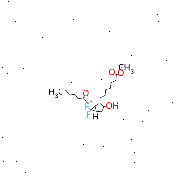 CCCCCC(=O)CC[C@]12[C@H](CCCCCCC(=O)OC)[C@@H](O)C[C@H]1C2(F)F